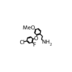 COc1ccc(CCN)c(Oc2ccc(Cl)cc2F)c1